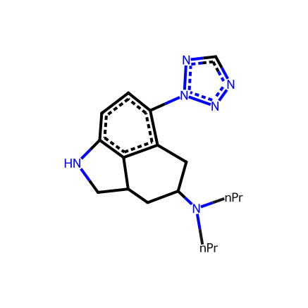 CCCN(CCC)C1Cc2c(-n3ncnn3)ccc3c2C(CN3)C1